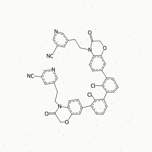 N#Cc1cncc(CCN2C(=O)COc3cc(-c4cccc(-c5cccc(-c6ccc7c(c6)OCC(=O)N7CCc6cncc(C#N)c6)c5Cl)c4Cl)ccc32)c1